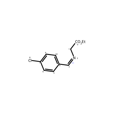 CCOC(=O)C/N=C\c1ccc(Cl)cc1